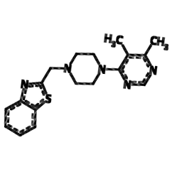 Cc1ncnc(N2CCN(Cc3nc4ccccc4s3)CC2)c1C